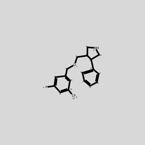 Fc1cc(COCC2CNCC2c2ccccc2)cc(C(F)(F)F)c1